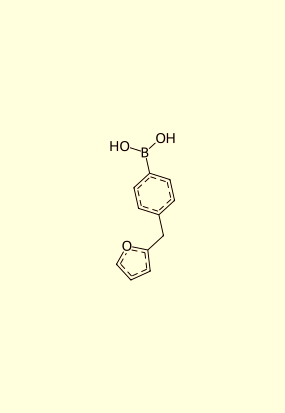 OB(O)c1ccc(Cc2ccco2)cc1